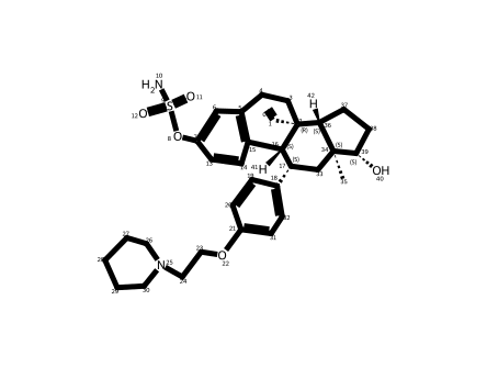 C=C[C@@]12CCc3cc(OS(N)(=O)=O)ccc3[C@H]1[C@@H](c1ccc(OCCN3CCCCC3)cc1)C[C@@]1(C)[C@H]2CC[C@@H]1O